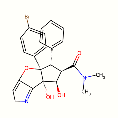 CN(C)C(=O)[C@H]1[C@@H](O)[C@@]2(O)C3=NCC=C3O[C@@]2(c2ccc(Br)cc2)[C@@H]1c1ccccc1